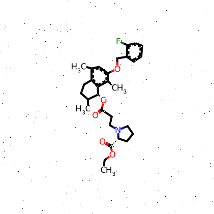 CCOC(=O)[C@H]1CCCN1CCC(=O)O[C@H]1c2c(C)c(OCc3ccccc3F)cc(C)c2CCC1C